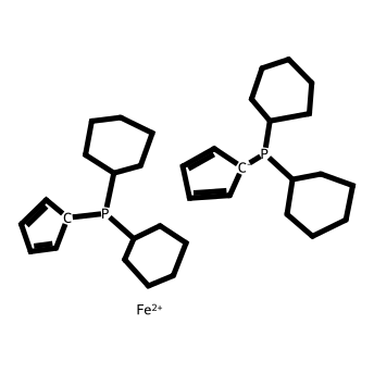 [Fe+2].c1cc[c-](P(C2CCCCC2)C2CCCCC2)c1.c1cc[c-](P(C2CCCCC2)C2CCCCC2)c1